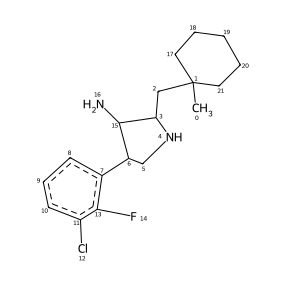 CC1(CC2NCC(c3cccc(Cl)c3F)C2N)CCCCC1